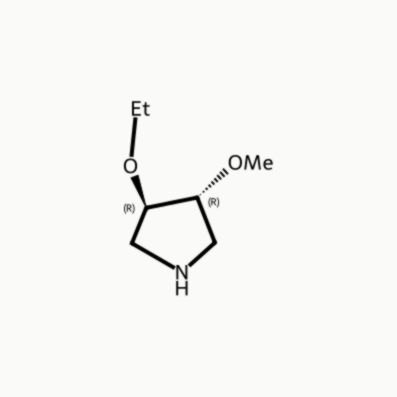 CCO[C@@H]1CNC[C@H]1OC